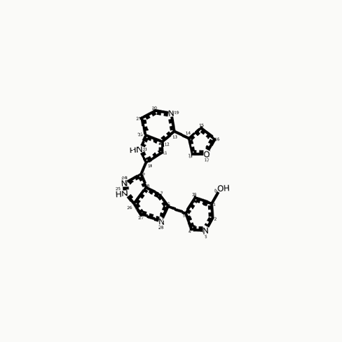 Oc1cncc(-c2cc3c(-c4cc5c(-c6ccoc6)nccc5[nH]4)n[nH]c3cn2)c1